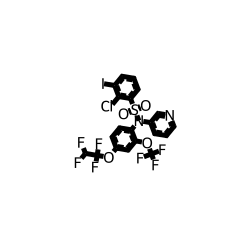 O=S(=O)(c1cccc(I)c1Cl)N(c1cccnc1)c1ccc(OC(F)(F)C(F)F)cc1OC(F)(F)F